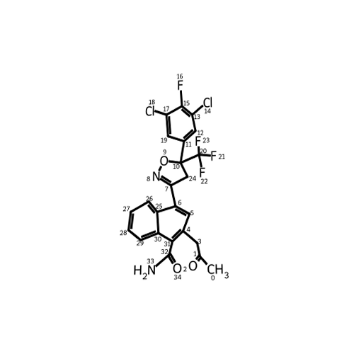 CC(=O)Cc1cc(C2=NOC(c3cc(Cl)c(F)c(Cl)c3)(C(F)(F)F)C2)c2ccccc2c1C(N)=O